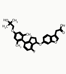 Cc1cc(OCC(C)(C)O)cc(C)c1-c1ccc(F)c2c1CCC2Oc1ccc2c(CC(=O)O)coc2c1